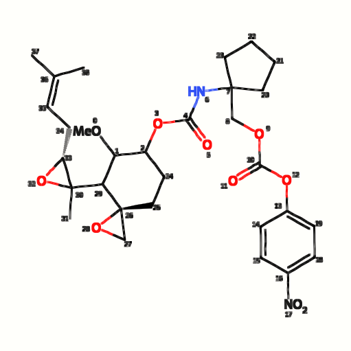 COC1C(OC(=O)NC2(COC(=O)Oc3ccc([N+](=O)[O-])cc3)CCCC2)CC[C@]2(CO2)C1C1(C)O[C@@H]1CC=C(C)C